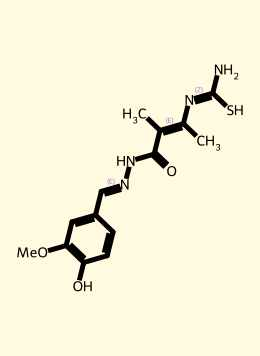 COc1cc(/C=N/NC(=O)/C(C)=C(C)/N=C(/N)S)ccc1O